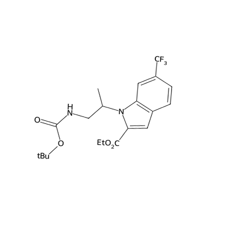 CCOC(=O)c1cc2ccc(C(F)(F)F)cc2n1C(C)CNC(=O)OC(C)(C)C